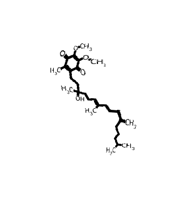 COC1=C(OC)C(=O)C(CCC(C)(O)CC/C=C(\C)CCCC(C)CCCC(C)C)=C(C)C1=O